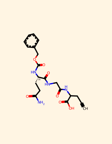 C#CCC(NC(=O)CNC(=O)[C@H](CCC(N)=O)NC(=O)OCc1ccccc1)C(=O)O